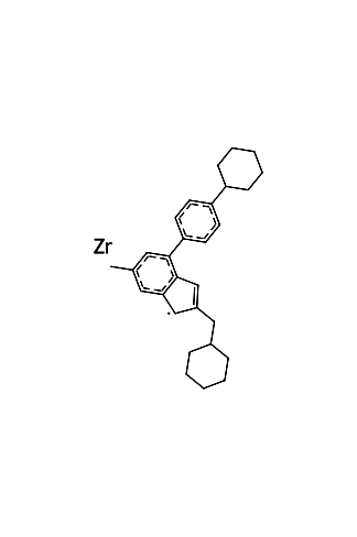 Cc1cc2c(c(-c3ccc(C4CCCCC4)cc3)c1)C=C(CC1CCCCC1)[CH]2.[Zr]